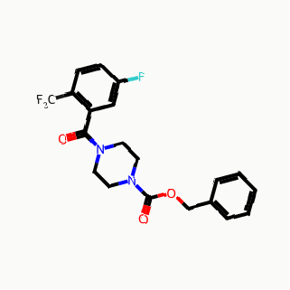 O=C(OCc1ccccc1)N1CCN(C(=O)c2cc(F)ccc2C(F)(F)F)CC1